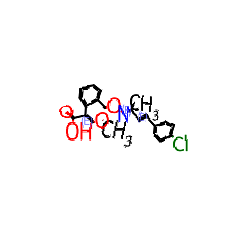 CO/C=C(/C(=O)O)c1ccccc1CO/N=C(C)/C=C/c1ccc(Cl)cc1